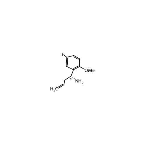 C=CC[C@@H](N)c1cc(F)ccc1OC